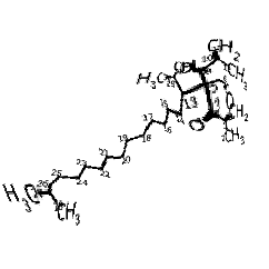 C=C(C)C(=O)C([C]=O)(C(=O)C(=C)C)C(CCCCCCCCCCCCC(C)C)C(C)C